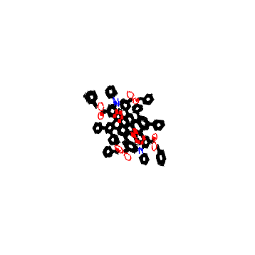 O=C(OCc1ccccc1)c1ccc2c(c1)N(c1ccccc1)c1cc(C(=O)OCc3ccccc3)cc3c1B2c1cc2c(-c4c(-c5ccccc5)cc(-c5ccccc5)cc4-c4ccccc4)cc4c5c(cc6c(-c7c(-c8ccccc8)cc(-c8ccccc8)cc7-c7ccccc7)cc-3c1c6c25)B1c2ccc(C(=O)OCc3ccccc3)cc2N(c2ccccc2)c2cc(C(=O)OCc3ccccc3)cc-4c21